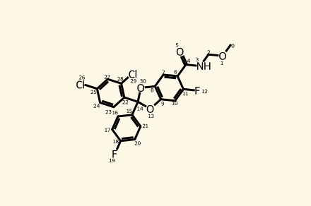 COCNC(=O)c1cc2c(cc1F)OC(c1ccc(F)cc1)(c1ccc(Cl)cc1Cl)O2